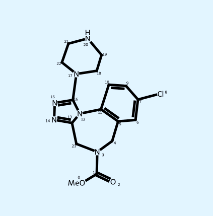 COC(=O)N1Cc2cc(Cl)ccc2-n2c(nnc2N2CCNCC2)C1